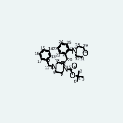 CC(C)(C)OC(=O)N1CCN(Cc2ccccc2)C[C@H]1Cc1ccccc1N1CCOCC1